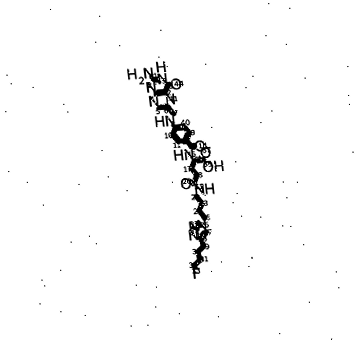 Nc1nc2ncc(CNc3ccc(C(=O)NC(CCC(=O)NCCCCn4cc(CCCCF)nn4)C(=O)O)cc3)nc2c(=O)[nH]1